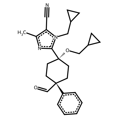 Cc1nc([C@]2(OCC3CC3)CC[C@](C=O)(c3ccccc3)CC2)n(CC2CC2)c1C#N